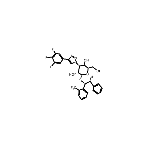 OC[C@H]1O[C@@H](S[C@H](c2ccccc2C(F)(F)F)[C@H](O)c2ccccc2)[C@H](O)[C@@H](n2cc(-c3cc(F)c(F)c(F)c3)nn2)[C@H]1O